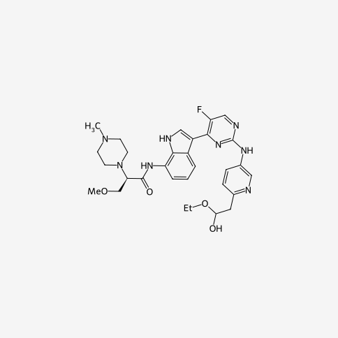 CCOC(O)Cc1ccc(Nc2ncc(F)c(-c3c[nH]c4c(NC(=O)[C@@H](COC)N5CCN(C)CC5)cccc34)n2)cn1